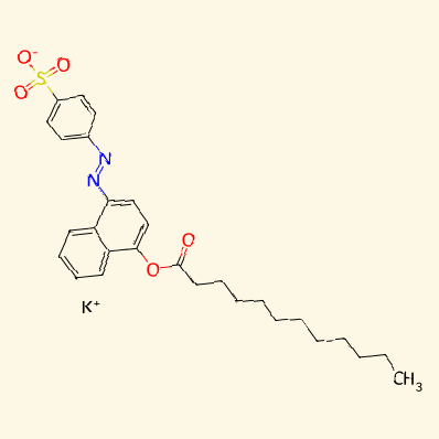 CCCCCCCCCCCC(=O)Oc1ccc(/N=N/c2ccc(S(=O)(=O)[O-])cc2)c2ccccc12.[K+]